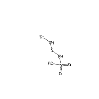 CC(C)NSNS(=O)(=O)O